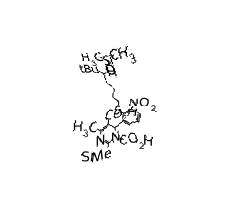 CSC1=NC(C)=C(C(=O)O)C(c2cccc([N+](=O)[O-])c2SCCCCC(O[SiH](C)C)C(C)(C)C)N1C(=O)O